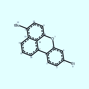 CCc1ccc2c(c1)Oc1ccc(C(C)(C)C)c3cccc-2c13